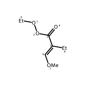 CCOOC(=O)C(=COC)CC